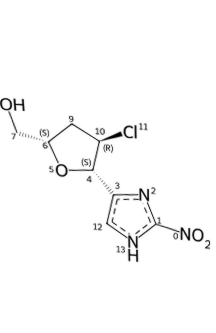 O=[N+]([O-])c1nc([C@@H]2O[C@H](CO)C[C@H]2Cl)c[nH]1